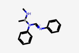 CNB(C)N(/C=N/c1ccccc1)c1ccccc1